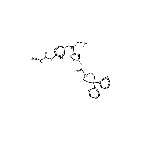 CC(C)(C)OC(=O)Nc1ccc(C[C@@H](C(=O)O)c2cn(CC(=O)N3CCC(c4ccccc4)(c4ccccc4)CC3)cn2)cn1